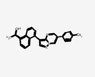 Cc1ccc(-c2cnc3c(-c4cccc5c(C(C)O)cccc45)cnn3c2)cc1